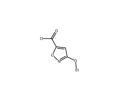 CCOc1cc(C(=O)Cl)on1